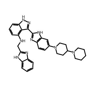 c1ccc2[nH]c(CNc3cccc4[nH]nc(-c5nc6ccc(N7CCC(N8CCCCC8)CC7)cc6[nH]5)c34)nc2c1